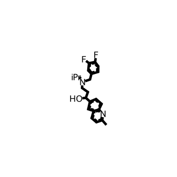 Cc1ccc2cc(C(O)CCN(Cc3ccc(F)c(F)c3)C(C)C)ccc2n1